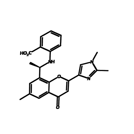 Cc1cc([C@@H](C)Nc2ccccc2C(=O)O)c2oc(-c3cn(C)c(C)n3)cc(=O)c2c1